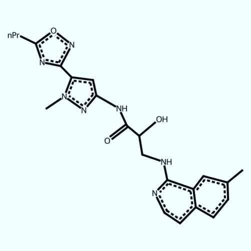 CCCc1nc(-c2cc(NC(=O)C(O)CNc3nccc4ccc(C)cc34)nn2C)no1